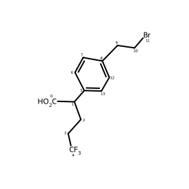 O=C(O)C(CCC(F)(F)F)c1ccc(CCBr)cc1